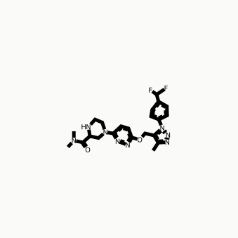 Cc1nnn(-c2ccc(C(F)F)cc2)c1COc1ccc(N2CCNC(C(=O)N(C)C)C2)nn1